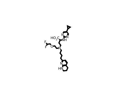 O=C(O)C(CCN(CCCCc1ccc2c(n1)NCCC2)CCOCC(F)F)Nc1ncc(C2CC2)cn1